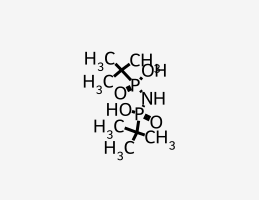 CC(C)(C)P(=O)(O)NP(=O)(O)C(C)(C)C